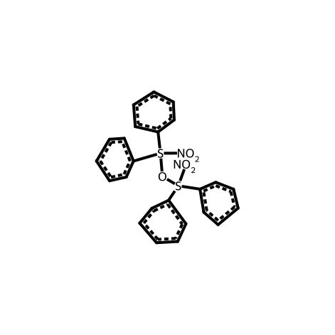 O=[N+]([O-])S(OS(c1ccccc1)(c1ccccc1)[N+](=O)[O-])(c1ccccc1)c1ccccc1